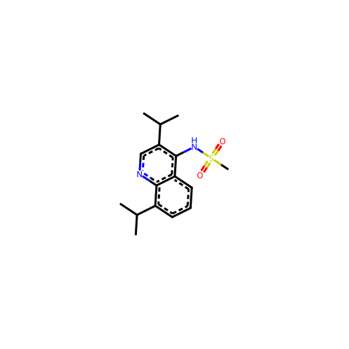 CC(C)c1cnc2c(C(C)C)cccc2c1NS(C)(=O)=O